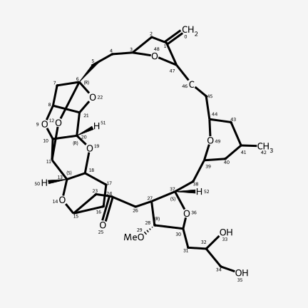 C=C1CC2CC[C@]34CC5OC6C(O3)[C@H]3OC(CCC3O[C@H]6C5O4)CC(=O)CC3[C@@H](OC)C(CC(O)CO)O[C@H]3CC3CC(C)CC(CCC1O2)O3